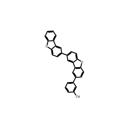 N#Cc1cccc(-c2ccc3oc4ccc(-c5ccc6oc7ccccc7c6c5)cc4c3c2)c1